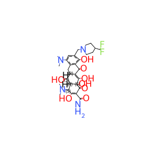 CN(C)c1cc(CN2CCC(C(F)F)CC2)c(O)c2c1C[C@@H]1C(=C(O)[C@]3(O)C(=O)C(C(N)=O)=C(O)[C@@H](N(C)C)[C@@H]3[C@H]1O)C2=O